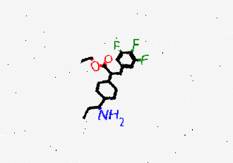 CCOC(=O)C(Cc1cc(F)c(F)c(F)c1)C1CCC(C(N)CC)CC1